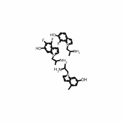 CC(N)Cn1ccc2c(F)c(F)c(O)cc21.CC(N)Cn1ccc2ccc(O)c(F)c21.Cc1cc(O)cc2c1ccn2CC(C)N